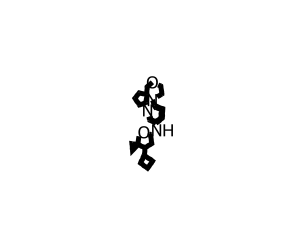 CC1(C(CC(=O)Nc2ccc(N3CCOCC34CCCC4)nc2)C2CCC2)CC1